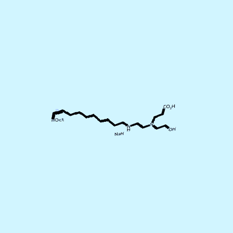 CCCCCCCC/C=C\CCCCCCCCNCCN(CCO)CCC(=O)O.[NaH]